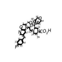 COC[C@H]1COc2ncc(Cc3ccc(F)cc3)cc2N1C(=O)CN1C[C@@H](C)N(C(=O)O)C[C@@H]1CN1CCOC[C@H]1C